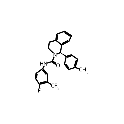 Cc1ccc([C@@H]2c3ccccc3CCN2C(=O)Nc2ccc(F)c(C(F)(F)F)c2)cc1